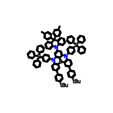 Cc1ccc(C2(c3ccc(C)cc3)c3ccccc3N(c3cc4c5c(c3)N(c3ccc([Si](c6ccccc6)(c6ccccc6)c6ccccc6)cc3)c3ccc(-c6ccc(C(C)(C)C)cc6)cc3B5c3cc(-c5ccc(C(C)(C)C)cc5)ccc3N4c3ccc([Si](c4ccccc4)(c4ccccc4)c4ccccc4)cc3)c3ccccc32)cc1